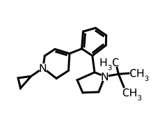 CC(C)(C)N1CCCC1c1ccccc1C1=CCN(C2CC2)CC1